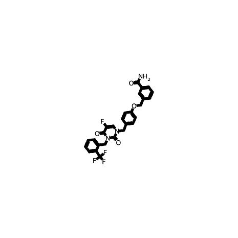 NC(=O)c1cccc(COc2ccc(Cn3cc(F)c(=O)n(Cc4ccccc4C(F)(F)F)c3=O)cc2)c1